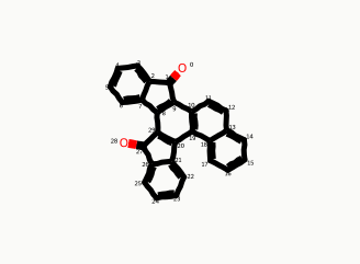 O=c1c2ccccc2c2c1c1ccc3ccccc3c1c1c3ccccc3c(=O)c21